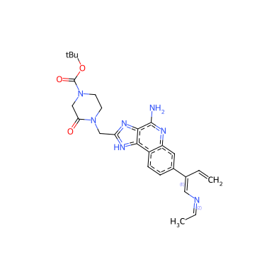 C=C/C(=C\N=C/C)c1ccc2c(c1)nc(N)c1nc(CN3CCN(C(=O)OC(C)(C)C)CC3=O)[nH]c12